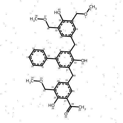 COCc1cc(Cc2cc(-c3ccccc3)cc(Cc3cc(COC)c(O)c(C(C)=O)c3)c2O)cc(COC)c1O